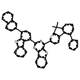 CC1(C)c2cc(-c3nc(-c4ccc(-c5ccc6ccccc6c5)c5oc6ccccc6c45)nc4c3sc3ccccc34)ccc2-c2c(-c3ccccc3)cccc21